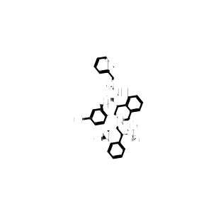 O=NC[C@@H]([C@@H](N=O)c1ccccc1)N1C(=O)c2ccccc2[C@H](C(=O)NOCc2ccccn2)[C@H]1c1ccc(Cl)cc1Cl